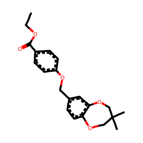 CCOC(=O)c1ccc(OCc2ccc3c(c2)OCC(C)(C)CO3)cc1